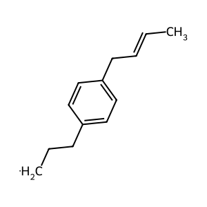 [CH2]CCc1ccc(C/C=C/C)cc1